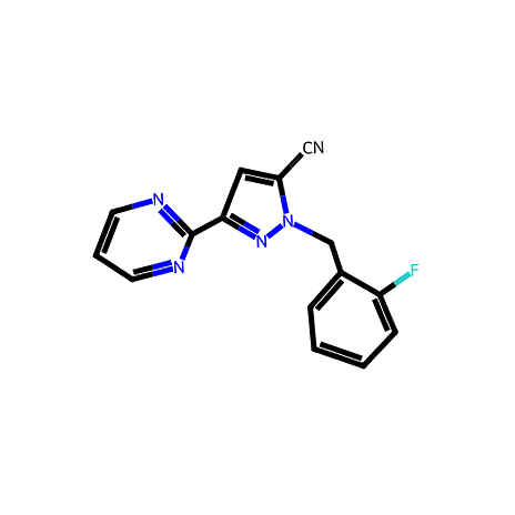 N#Cc1cc(-c2ncccn2)nn1Cc1ccccc1F